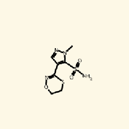 Cn1ncc(C2=NOCCS2)c1S(N)(=O)=O